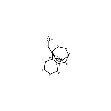 OCC1CCC2C3CCC(C4CCCCC4C3)C12